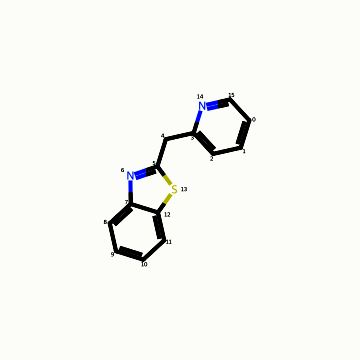 c1ccc(Cc2nc3ccccc3s2)nc1